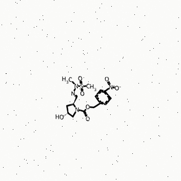 CN(N=C[C@@H]1C[C@@H](O)CN1C(=O)OCc1ccc([N+](=O)[O-])cc1)S(C)(=O)=O